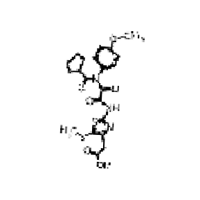 COc1ccc(N(C(=O)C(=O)Nc2nc(CC(=O)O)c(SC)s2)C(=O)C2CCCC2)cc1